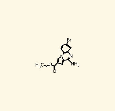 CCOC(=O)c1cc2c(N)nc3cc(Br)ccc3n2c1